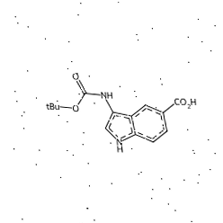 CC(C)(C)OC(=O)Nc1c[nH]c2ccc(C(=O)O)cc12